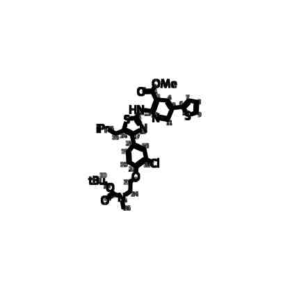 COC(=O)c1cc(-c2cccs2)cnc1Nc1nc(-c2ccc(OCCN(C)C(=O)OC(C)(C)C)c(Cl)c2)c(CC(C)C)s1